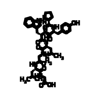 CC(C)C[C@H](NC(=O)CNC(=O)[C@H](CC(C)C)NC(=O)[C@H](Cc1c[nH]c2ccccc12)NC(=O)[C@H](Cc1ccc(O)cc1)NC(=O)[C@@H]1CCCN1)C(=O)NCC(=O)O